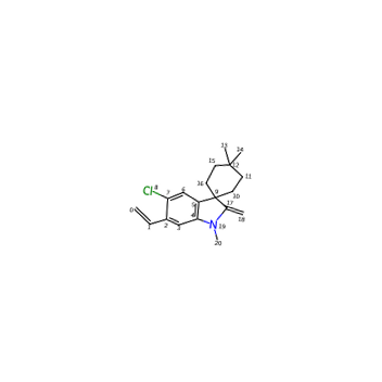 C=Cc1cc2c(cc1Cl)C1(CCC(C)(C)CC1)C(=C)N2C